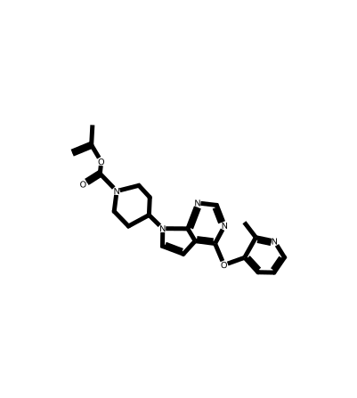 C=C(C)OC(=O)N1CCC(n2ccc3c(Oc4cccnc4C)ncnc32)CC1